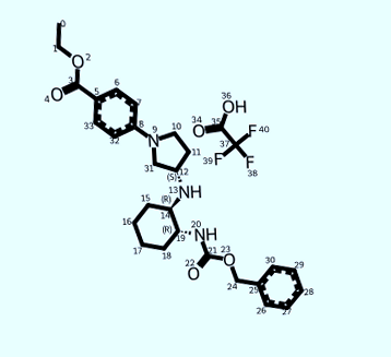 CCOC(=O)c1ccc(N2CC[C@H](N[C@@H]3CCCC[C@H]3NC(=O)OCc3ccccc3)C2)cc1.O=C(O)C(F)(F)F